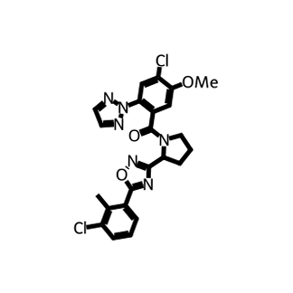 COc1cc(C(=O)N2CCCC2c2noc(-c3cccc(Cl)c3C)n2)c(-n2nccn2)cc1Cl